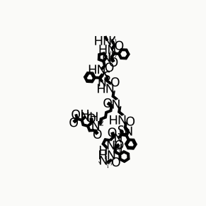 CN[C@@H](C)C(=O)N[C@H](C(=O)N1CCCC1C(=O)Nc1sc(C(=O)NCCCN(CCCNC(=O)c2nc(-c3ccccc3)c(NC(=O)C3CCCN3C(=O)[C@@H](NC(=O)[C@H](C)NC)C3CCCCC3)s2)C(=O)CCCCCN2C(=O)CC(CC(N)C(=O)O)C2=O)nc1-c1ccccc1)C1CCCCC1